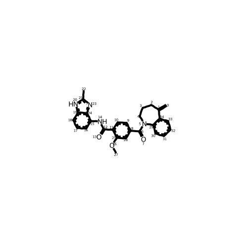 C=C1CCCN(C(=O)c2ccc(C(=O)Nc3cccc4[nH]c(C)nc34)c(OC)c2)c2ccccc21